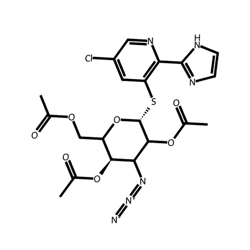 CC(=O)OCC1O[C@H](Sc2cc(Cl)cnc2-c2ncc[nH]2)C(OC(C)=O)C(N=[N+]=[N-])[C@H]1OC(C)=O